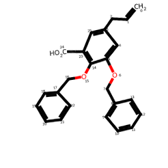 C=CCc1cc(OCc2ccccc2)c(OCc2ccccc2)c(C(=O)O)c1